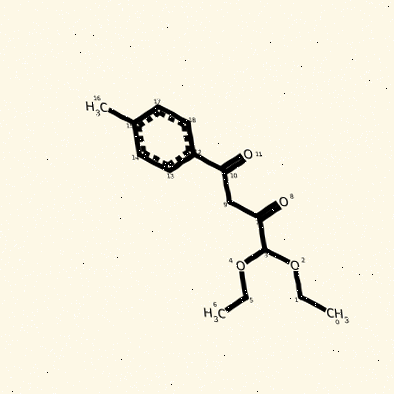 CCOC(OCC)C(=O)CC(=O)c1ccc(C)cc1